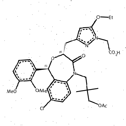 CCOc1cc(C[C@H]2O[C@H](c3cccc(OC)c3OC)c3cc(Cl)ccc3N(CC(C)(C)COC(C)=O)C2=O)nn1CC(=O)O